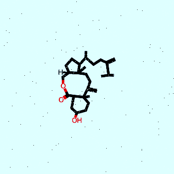 C=C(CCC(C)C1CC[C@H]2COC(=O)C3CC(O)CCC3(C)C(=C)CCC12C)C(C)C